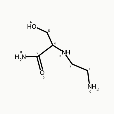 NCCNC(CO)C(N)=O